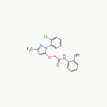 CCCc1ccccc1NC(=O)COc1cc(C(F)(F)F)nn1-c1ccccc1Cl